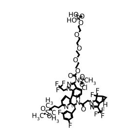 CC(C)(CCc1ccc(-c2ccc(Cl)c3c(N(C(=O)OCCOCCOCCOCCOP(=O)(O)O)S(C)(=O)=O)nn(CC(F)(F)F)c23)c([C@H](Cc2cc(F)cc(F)c2)NC(=O)Cn2nc(C(F)(F)F)c3c2C(F)(F)C2C[C@H]32)n1)S(C)(=O)=O